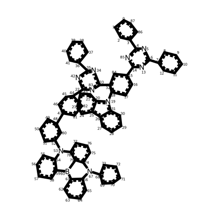 c1ccc(-c2nc(-c3ccccc3)nc(-c3ccc(-n4c5ccccc5c5ccccc54)c(-c4nc(-c5ccccc5)nc(-c5ccc(-c6cccc(N7c8ccccc8B8c9ccccc9N(c9ccccc9)c9cccc7c98)c6)cc5)n4)c3)n2)cc1